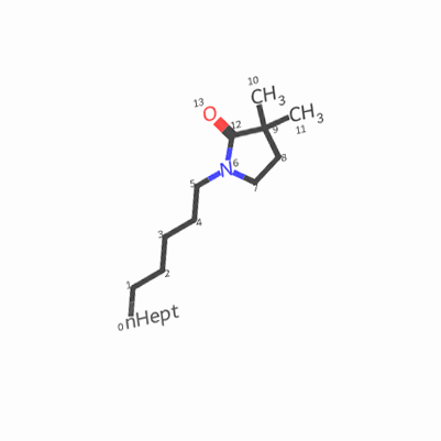 CCCCCCCCCCCCN1CCC(C)(C)C1=O